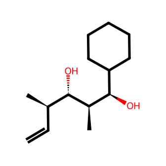 C=C[C@@H](C)[C@H](O)[C@H](C)[C@H](O)C1CCCCC1